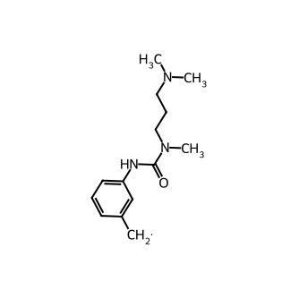 [CH2]c1cccc(NC(=O)N(C)CCCN(C)C)c1